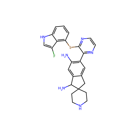 Nc1cc2c(cc1-c1nccnc1Sc1cccc3[nH]cc(F)c13)CC1(CCNCC1)C2N